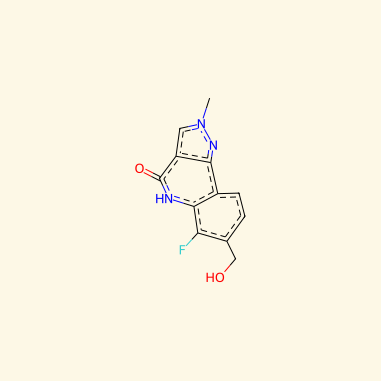 Cn1cc2c(=O)[nH]c3c(F)c(CO)ccc3c2n1